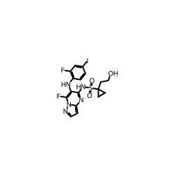 O=S(=O)(Nc1nc2ccnn2c(F)c1Nc1ccc(I)cc1F)C1(CCO)CC1